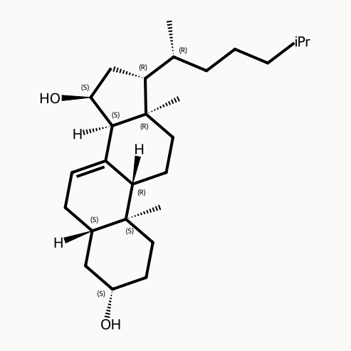 CC(C)CCC[C@@H](C)[C@H]1C[C@H](O)[C@@H]2C3=CC[C@H]4C[C@@H](O)CC[C@]4(C)[C@H]3CC[C@]12C